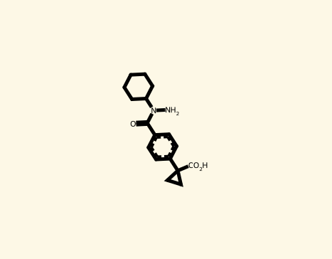 NN(C(=O)c1ccc(C2(C(=O)O)CC2)cc1)C1CCCCC1